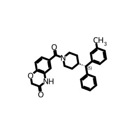 Cc1cccc([C@H](c2ccccc2)C2CCN(C(=O)c3ccc4c(c3)NC(=O)CO4)CC2)c1